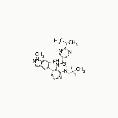 CC(C)c1ncc(C(=O)Nc2c(-c3cc4cnn(C)c4cc3F)ccnc2N2CCC(C)(I)C2)cn1